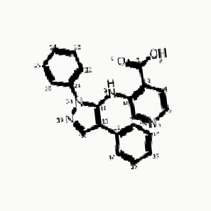 O=C(O)c1ccncc1Nc1c(-c2ccccc2)cnn1-c1ccccc1